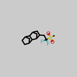 CS(=O)(=O)C(F)(F)CC1CC2CC1C1C3CCC(C3)C21